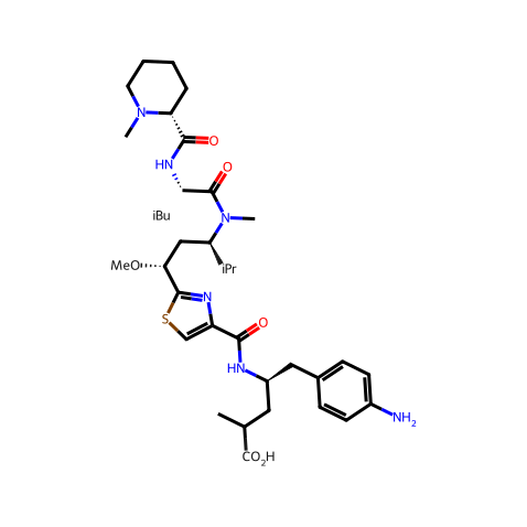 CC[C@H](C)[C@H](NC(=O)[C@H]1CCCCN1C)C(=O)N(C)[C@H](C[C@@H](OC)c1nc(C(=O)N[C@@H](Cc2ccc(N)cc2)CC(C)C(=O)O)cs1)C(C)C